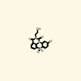 O=c1c2cccc3c2n(c(=O)n1CCO)-c1cc(Cl)ccc1S3(=O)=O